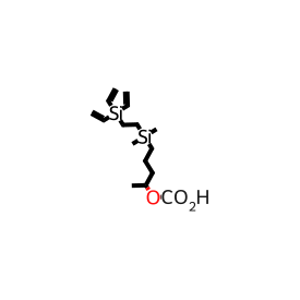 C=C[Si](C=C)(C=C)CC[Si](C)(C)CCCC(C)OC(=O)O